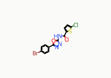 O=C(Nc1nnc(-c2ccc(Br)cc2)o1)c1ccc(Cl)s1